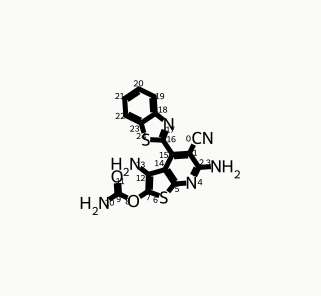 N#Cc1c(N)nc2sc(OC(N)=O)c(N)c2c1-c1nc2ccccc2s1